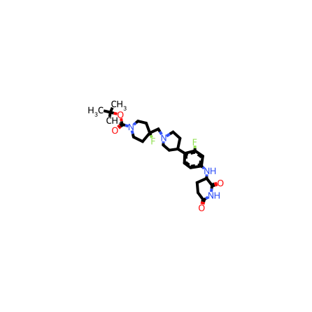 CC(C)(C)OC(=O)N1CCC(F)(CN2CCC(c3ccc(NC4CCC(=O)NC4=O)cc3F)CC2)CC1